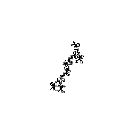 C=C(C)C(=O)OCC(COC(=O)C(=C)C)OC(=O)CCCC(=O)OC(C)(C)COC(C)(C)C(=O)CCCC(=O)OC(COC(=O)C(=C)C)COC(=O)C(=C)C